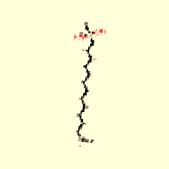 CNCCCCCCCCCCCC[Si](C)(O)O